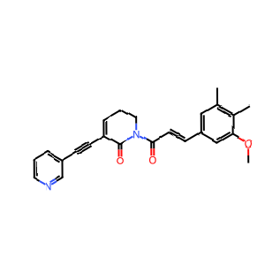 COc1cc(/C=C/C(=O)N2CCC=C(C#Cc3cccnc3)C2=O)cc(C)c1C